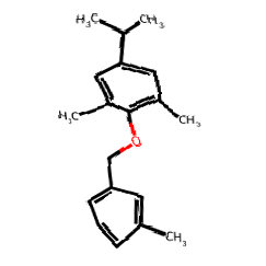 Cc1cccc(COc2c(C)cc(C(C)C)cc2C)c1